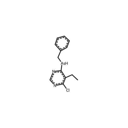 CCc1c(Cl)ncnc1[AsH]Cc1ccccc1